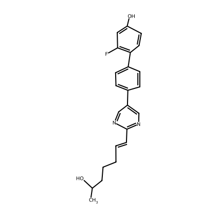 CC(O)CCCC=Cc1ncc(-c2ccc(-c3ccc(O)cc3F)cc2)cn1